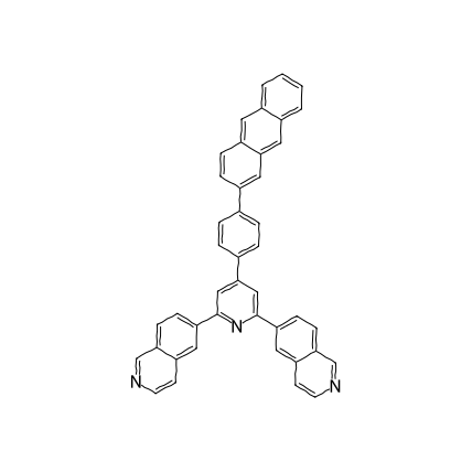 c1ccc2cc3cc(-c4ccc(-c5cc(-c6ccc7cnccc7c6)nc(-c6ccc7cnccc7c6)c5)cc4)ccc3cc2c1